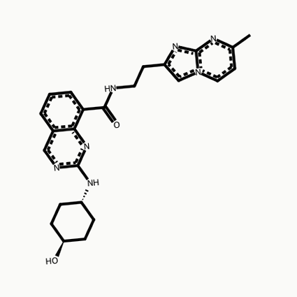 Cc1ccn2cc(CCNC(=O)c3cccc4cnc(N[C@H]5CC[C@H](O)CC5)nc34)nc2n1